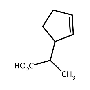 CC(C(=O)O)C1C=CCC1